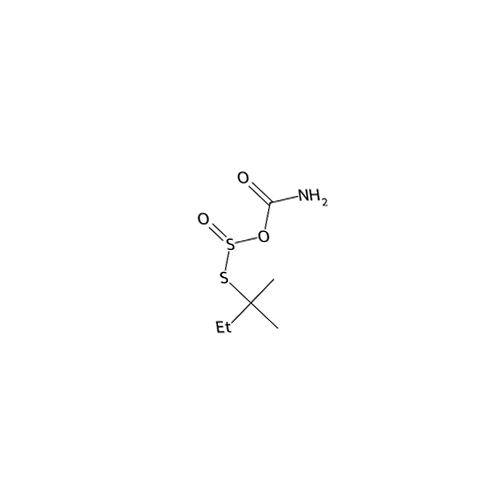 CCC(C)(C)SS(=O)OC(N)=O